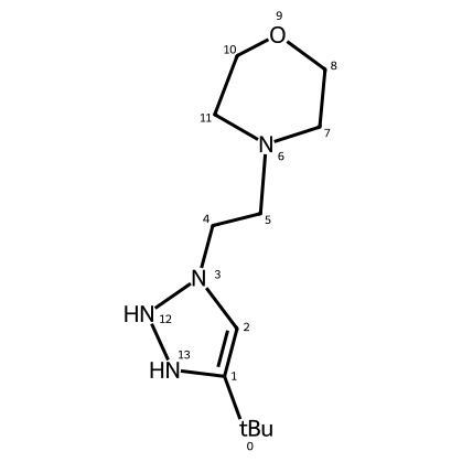 CC(C)(C)C1=CN(CCN2CCOCC2)NN1